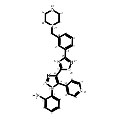 Pc1ccccc1-n1nnc(-c2nc(-c3cccc(CN4CCOCC4)c3)no2)c1-c1ccncc1